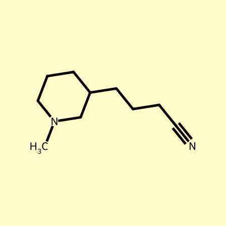 CN1CCCC(CCCC#N)C1